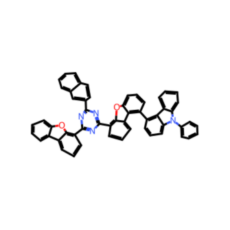 c1ccc(-n2c3ccccc3c3c(-c4cccc5oc6c(-c7nc(-c8ccc9ccccc9c8)nc(-c8cccc9c8oc8ccccc89)n7)cccc6c45)cccc32)cc1